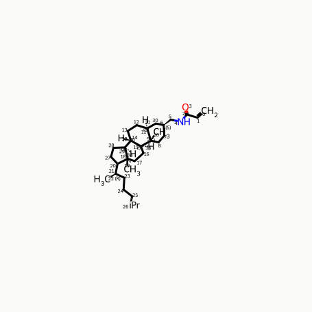 C=CC(=O)NC[C@H]1CC[C@@]2(C)[C@@H](CC[C@@H]3[C@@H]2CC[C@]2(C)C([C@H](C)CCCC(C)C)CC[C@@H]32)C1